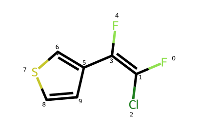 FC(Cl)=C(F)c1[c]scc1